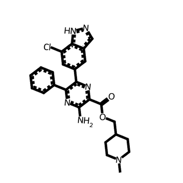 CN1CCC(COC(=O)c2nc(-c3cc(Cl)c4[nH]ncc4c3)c(-c3ccccc3)nc2N)CC1